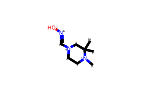 CN1CCN(C=NO)CC1(C)C